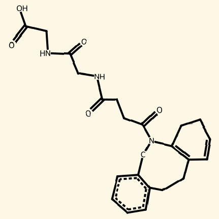 O=C(O)CNC(=O)CNC(=O)CCC(=O)N1Cc2ccccc2CCC2=C1CCC=C2